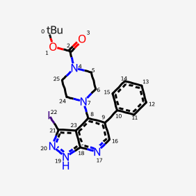 CC(C)(C)OC(=O)N1CCN(c2c(-c3ccccc3)cnc3[nH]nc(I)c23)CC1